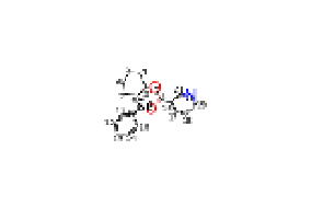 O=C(OC1CCCCC1[Se]c1ccccc1)c1cccnc1